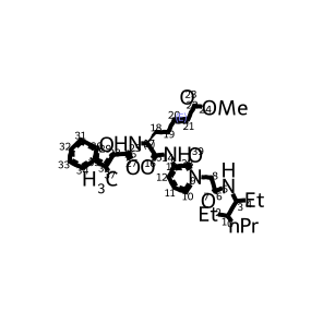 CCCC(CC)C(CC)NC(=O)Cn1cccc(NC(=O)[C@H](CC/C=C/C(=O)OC)NC(=O)c2oc3ccccc3c2C)c1=O